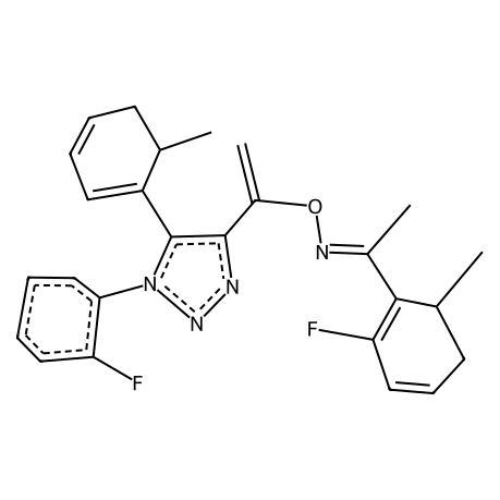 C=C(O/N=C(\C)C1=C(F)C=CCC1C)c1nnn(-c2ccccc2F)c1C1=CC=CCC1C